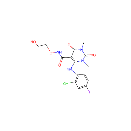 Cn1c(Nc2ccc(I)cc2Cl)c(C(=O)NOCCO)c(=O)n(C)c1=O